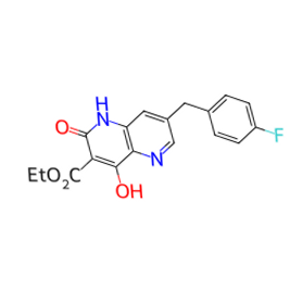 CCOC(=O)c1c(O)c2ncc(Cc3ccc(F)cc3)cc2[nH]c1=O